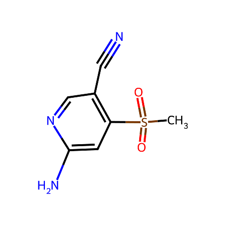 CS(=O)(=O)c1cc(N)ncc1C#N